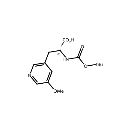 COc1cncc(C[C@@H](NC(=O)OC(C)(C)C)C(=O)O)c1